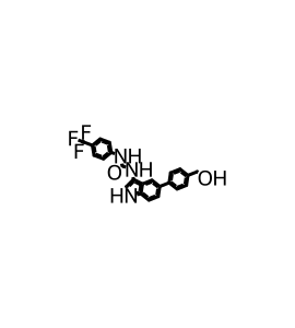 O=C(Nc1ccc(C(F)(F)F)cc1)Nc1c[nH]c2ccc(-c3ccc(CO)cc3)cc12